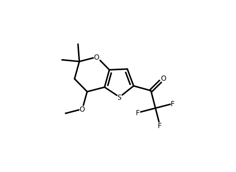 COC1CC(C)(C)Oc2cc(C(=O)C(F)(F)F)sc21